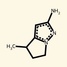 CC1CCn2nc(N)cc21